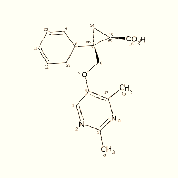 Cc1ncc(OC[C@@]2(C3C=CC=CC3)C[C@H]2C(=O)O)c(C)n1